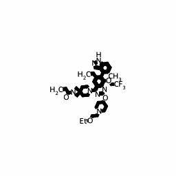 C=CC(=O)N1CC2(CCN(c3nc(OC4CCN(CCOCC)CC4)nc4c(OCC(F)(F)F)c(-c5c(C)ccc6[nH]ncc56)c(C=C)cc34)CC2)C1